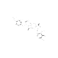 COc1ccc(ON(C(C)=O)C2C(=O)N3CC(CSc4nnc(O)c(=O)n4C)(C(=O)O)CS[C@H]23)cc1